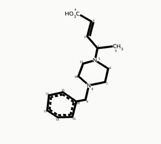 CC(C=CC(=O)O)N1CCN(Cc2ccccc2)CC1